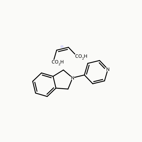 O=C(O)/C=C\C(=O)O.c1ccc2c(c1)CN(c1ccncc1)C2